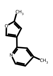 Cc1ccnc(-c2coc(C)c2)c1